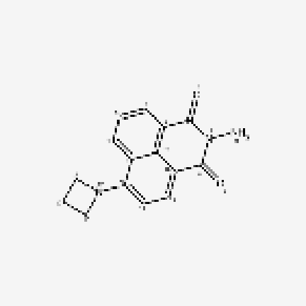 NN1C(=O)c2cccc3c(N4CCC4)ccc(c23)C1=O